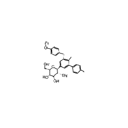 CCOc1ccc(Cc2cc([C@@H]3O[C@H](CO)[C@@H](O)[C@H](O)[C@H]3O)cc(-c3ccc(C)cc3)c2C)cc1